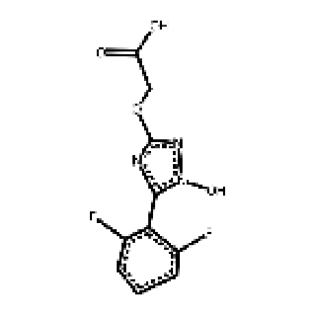 O=C(O)COc1nc(-c2c(F)cccc2F)n(O)n1